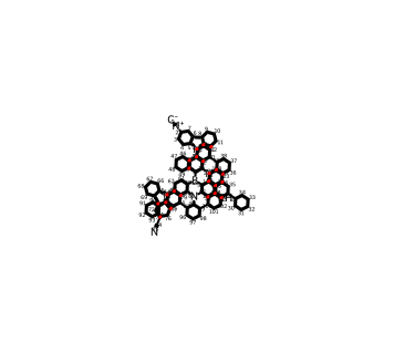 [C-]#[N+]c1ccc2c(c1)c1ccccc1n2-c1ccc2c(c1)N(c1c(-c3cccc(-c4ccccc4)c3)cccc1-c1cccc(-c3ccccc3)c1)c1cc(C)cc3c1B2c1ccc(-n2c4ccccc4c4cc(C#N)ccc42)cc1N3c1c(-c2cccc(-c3ccccc3)c2)cccc1-c1cccc(-c2ccccc2)c1